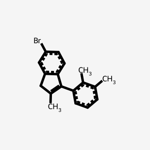 CC1=C(c2cccc(C)c2C)c2ccc(Br)cc2C1